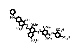 COc1cc(N=Nc2cc(OC)c(N=Nc3c(S(=O)(=O)O)cc4cc(Nc5ccccc5)ccc4c3O)c3ccc(S(=O)(=O)O)cc23)c(OC)cc1N=Nc1ccc(S(=O)(=O)O)cc1S(=O)(=O)O